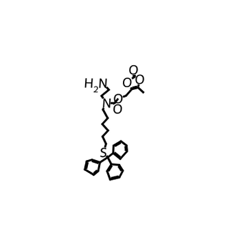 Cc1oc(=O)oc1COC(=O)N(CCN)CCCCCCSC(c1ccccc1)(c1ccccc1)c1ccccc1